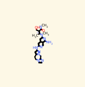 C=NC(=O)/C(CO)=C(/C)N(C)c1cc2cc(Nc3cc4n(n3)Cc3nccn3CC4)ncc2c(N)n1